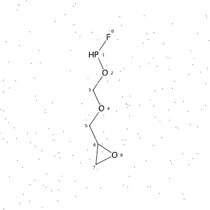 FPOCOCC1CO1